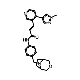 Cn1cc(-c2ccncc2C=CC(=O)Nc2ccc(CN3C4CCC3COC4)cc2)cn1